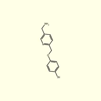 CC(C)c1ccc(OCc2ccc(CN)cn2)cc1